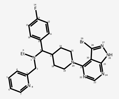 CCN(Cc1ccccn1)C(c1ccc(F)cc1)C1CCN(c2ncnc3[nH]nc(Br)c23)CC1